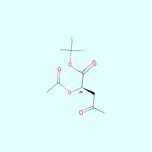 CC(=O)C[C@@H](OC(C)=O)C(=O)OC(C)(C)C